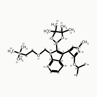 Cn1cc(-c2c(B3OC(C)(C)C(C)(C)O3)n(COCC[Si](C)(C)C)c3ncccc23)c(OC(F)F)n1